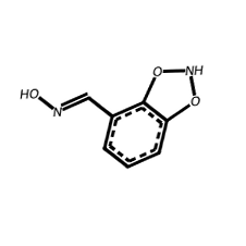 ON=Cc1cccc2c1ONO2